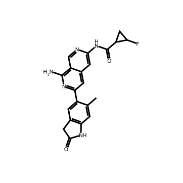 Cc1cc2c(cc1-c1cc3cc(NC(=O)C4CC4F)ncc3c(N)n1)CC(=O)N2